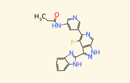 CCC(=O)Nc1cncc(-c2ncc3[nH]nc(-c4nc5ccccc5[nH]4)c3c2F)c1